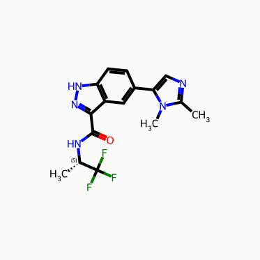 Cc1ncc(-c2ccc3[nH]nc(C(=O)N[C@@H](C)C(F)(F)F)c3c2)n1C